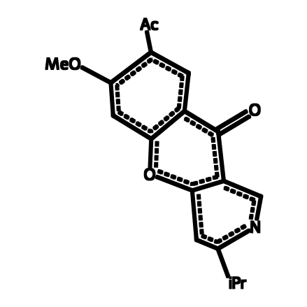 COc1cc2oc3cc(C(C)C)ncc3c(=O)c2cc1C(C)=O